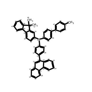 Cc1ccc(-c2ccc(N(c3ccc(-c4cc5ccccc5c5ccccc45)cc3)c3ccc4c(c3)C(C)(C)c3ccccc3-4)cc2)cc1